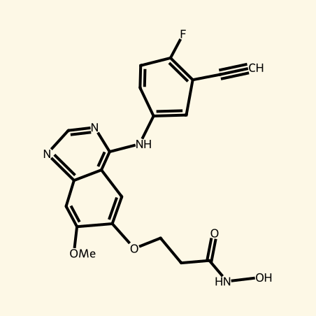 C#Cc1cc(Nc2ncnc3cc(OC)c(OCCC(=O)NO)cc23)ccc1F